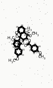 COc1ccc(C(=O)OC2C(OC(=O)c3ccc(OC)cc3)[C@](C)(OC)c3ccccc3C2(OC)c2ccccc2C)cc1